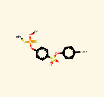 CCCSP(=S)(OCC)Oc1ccc(S(=O)(=O)Oc2ccc(SC)cc2)cc1